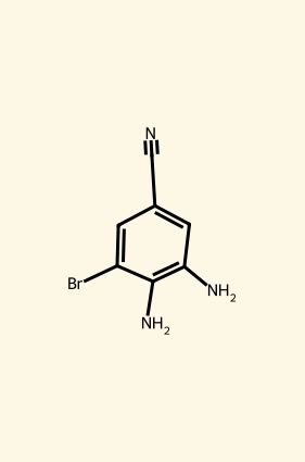 N#Cc1cc(N)c(N)c(Br)c1